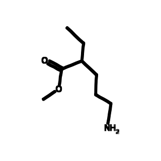 CCC(CCCN)C(=O)OC